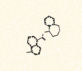 CCC(C)c1cccc2c(C(=O)OC3CCCCc4ccccc43)cccc12